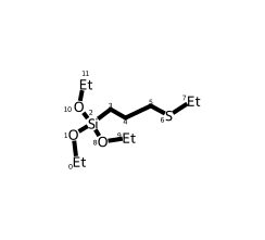 CCO[Si](CCCSCC)(OCC)OCC